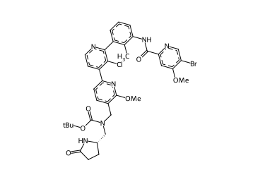 COc1cc(C(=O)Nc2cccc(-c3nccc(-c4ccc(CN(C[C@@H]5CCC(=O)N5)C(=O)OC(C)(C)C)c(OC)n4)c3Cl)c2C)ncc1Br